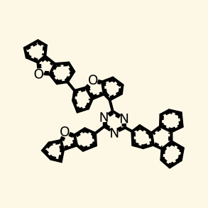 c1ccc2c(c1)oc1cc(-c3nc(-c4ccc5c6ccccc6c6ccccc6c5c4)nc(-c4cccc5oc6c(-c7ccc8c(c7)oc7ccccc78)cccc6c45)n3)ccc12